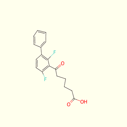 O=C(O)CCCCC(=O)c1c(F)ccc(-c2ccccc2)c1F